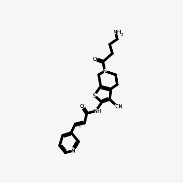 N#Cc1c(NC(=O)/C=C/c2cccnc2)sc2c1CCN(C(=O)CCCN)C2